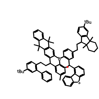 Cc1cc(C)c2c(c1)C(CCc1ccc(C(C)(C)C)cc1-c1ccccc1)c1cc3c(cc1B2c1ccc(CCC2c4ccc(C(C)(C)C)cc4C4(C)CCCCC24C)cc1C(C)c1cccc2sc4ccccc4c12)C(C)(C)c1ccccc1C3(C)C